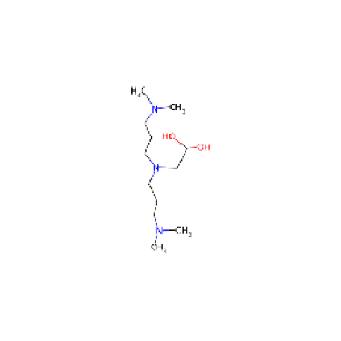 CN(C)CCCN(CCCN(C)C)CC(O)O